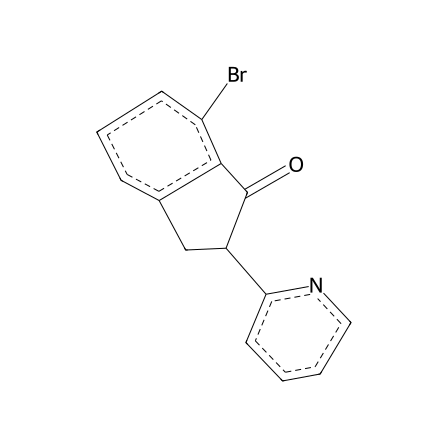 O=C1c2c(Br)cccc2CC1c1ccccn1